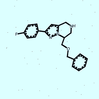 Fc1ccc(-c2cc3n(n2)C(COCc2ccccc2)CNC3)cc1